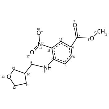 COC(=O)c1ccc(NCC2CCOC2)c([N+](=O)[O-])c1